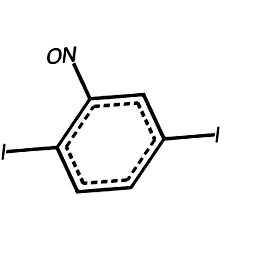 O=Nc1cc(I)ccc1I